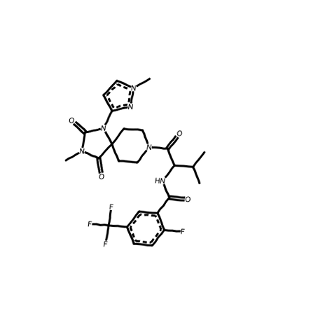 CC(C)C(NC(=O)c1cc(C(F)(F)F)ccc1F)C(=O)N1CCC2(CC1)C(=O)N(C)C(=O)N2c1ccn(C)n1